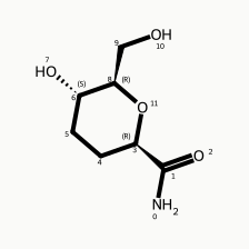 NC(=O)[C@H]1CC[C@H](O)[C@@H](CO)O1